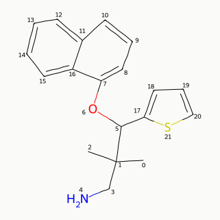 CC(C)(CN)C(Oc1cccc2ccccc12)c1cccs1